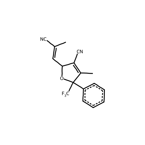 CC(C#N)=CC1OC(c2ccccc2)(C(F)(F)F)C(C)=C1C#N